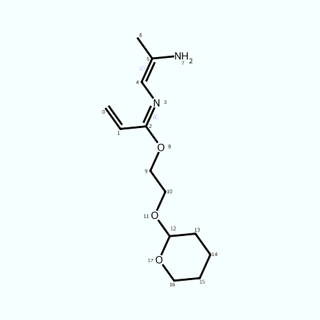 C=C/C(=N\C=C(\C)N)OCCOC1CCCCO1